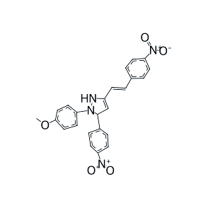 COc1ccc(N2NC(C=Cc3ccc([N+](=O)[O-])cc3)=CC2c2ccc([N+](=O)[O-])cc2)cc1